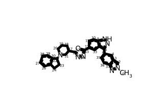 Cn1cc2cc(-c3n[nH]c4ccc(-c5nnc(C6CCCN(C7CCc8ccccc87)C6)o5)cc34)ccc2n1